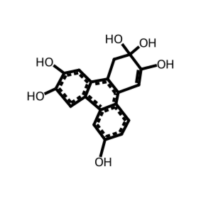 OC1=Cc2c(c3cc(O)c(O)cc3c3cc(O)ccc23)CC1(O)O